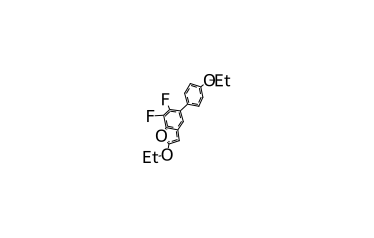 CCOc1ccc(-c2cc3cc(OCC)oc3c(F)c2F)cc1